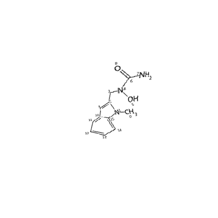 Cn1c(CN(O)C(N)=O)cc2ccccc21